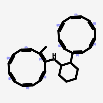 CC1=C(NC2CCCCC2C2=C/C=C\C=C/C=C\C=C/C=C\2)/C=C\C=C/C=C\C=C/C=C\1